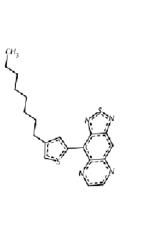 CCCCCCCCc1csc(-c2c3nccnc3cc3nsnc23)c1